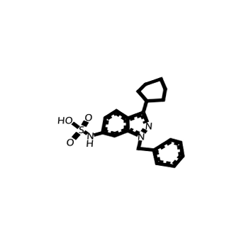 O=S(=O)(O)Nc1ccc2c(C3CCCCC3)nn(Cc3ccccc3)c2c1